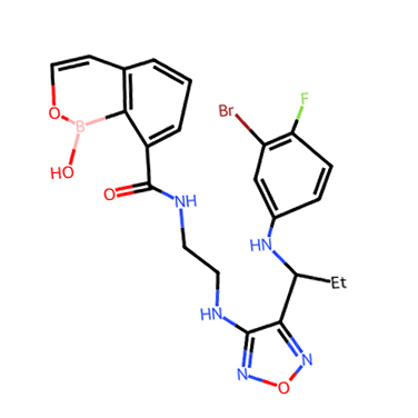 CCC(Nc1ccc(F)c(Br)c1)c1nonc1NCCNC(=O)c1cccc2c1B(O)OC=C2